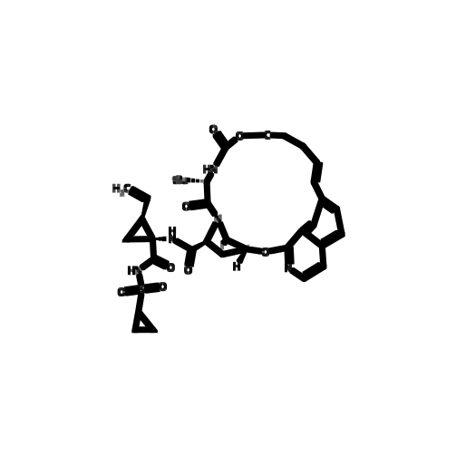 C=C[C@@H]1C[C@]1(NC(=O)[C@@H]1C[C@H]2Oc3nccc4ccc(cc34)/C=C/CCCOC(=O)N[C@@H](C(C)(C)C)C(=O)N1C2I)C(=O)NS(=O)(=O)C1CC1